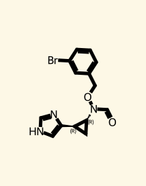 O=CN(OCc1cccc(Br)c1)[C@@H]1C[C@H]1c1c[nH]cn1